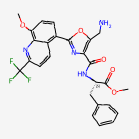 COC(=O)[C@H](Cc1ccccc1)NC(=O)c1nc(-c2ccc(OC)c3nc(C(F)(F)F)ccc23)oc1CN